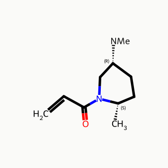 C=CC(=O)N1C[C@H](NC)CC[C@@H]1C